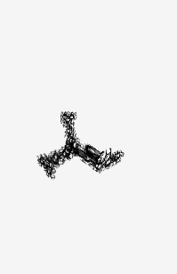 C[Si]1(C)c2cc(-c3ccc(-c4ccccc4)cc3)ccc2-c2ccc(-n3c4ccc(-c5ccc(-c6cc7ccccc7c7ccccc67)cc5)cc4c4cc(-c5ccc(-c6cc7ccccc7c7ccccc67)cc5)ccc43)cc21